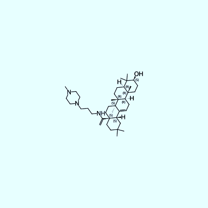 C=C(NCCCN1CCN(C)CC1)[C@]12CCC(C)(C)C[C@H]1C1=CC[C@@H]3[C@@]4(C)CC[C@H](O)C(C)(C)[C@@H]4CC[C@@]3(C)[C@]1(C)CC2